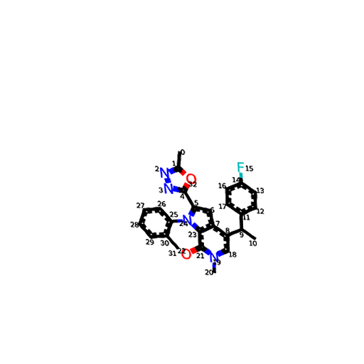 Cc1nnc(-c2cc3c(C(C)c4ccc(F)cc4)cn(C)c(=O)c3n2-c2ccccc2C)o1